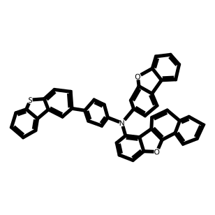 c1ccc2c(c1)ccc1c2oc2cccc(N(c3ccc(-c4ccc5sc6ccccc6c5c4)cc3)c3ccc4c(c3)oc3ccccc34)c21